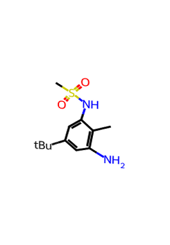 Cc1c(N)cc(C(C)(C)C)cc1NS(C)(=O)=O